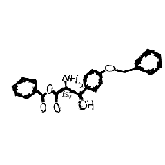 N[C@H](C(=O)OC(=O)c1ccccc1)C(O)c1ccc(OCc2ccccc2)cc1